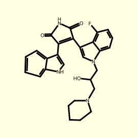 O=C1NC(=O)C(c2cn(CC(O)CN3CCCCC3)c3cccc(F)c23)=C1c1c[nH]c2ccccc12